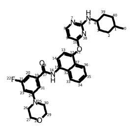 CC1CCC(Nc2nccc(Oc3ccc(NC(=O)c4cc(F)cc(N5CCOCC5)c4)c4ccccc34)n2)CC1